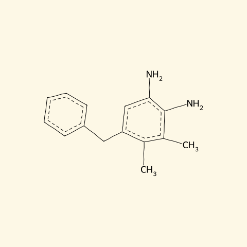 Cc1c(Cc2ccccc2)cc(N)c(N)c1C